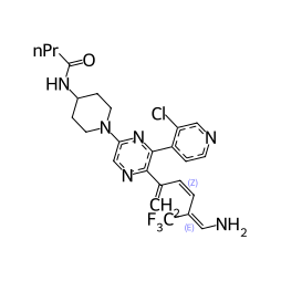 C=C(/C=C\C(=C/N)C(F)(F)F)c1ncc(N2CCC(NC(=O)CCC)CC2)nc1-c1ccncc1Cl